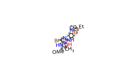 CCOC(=O)N=S(=O)(CC)c1ccc(Nc2ncc(Br)c(N[C@H](COC)[C@@H](C)O)n2)cc1